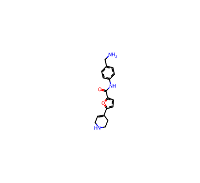 NCc1ccc(NC(=O)c2ccc(C3=CCNCC3)o2)cc1